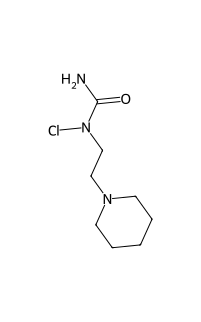 NC(=O)N(Cl)CCN1CCCCC1